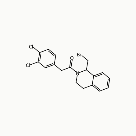 O=C(Cc1ccc(Cl)c(Cl)c1)N1CCc2ccccc2C1CBr